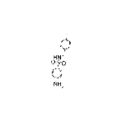 Cc1ccc(CNS(=O)(=O)c2ccc(N)cc2)cc1